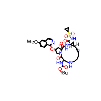 COc1ccc2c(O[C@@H]3C[C@H]4C(=O)N[C@]5(C(=O)NS(=O)(=O)C6CC6)C[C@H]5/C=C\CCCNC[C@H](NC(=O)OC(C)(C)C)C(=O)N4C3)nccc2c1